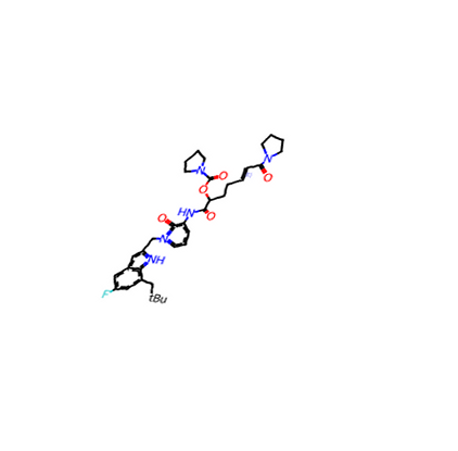 CC(C)(C)Cc1cc(F)cc2cc(Cn3cccc(NC(=O)C(CC/C=C/C(=O)N4CCCC4)OC(=O)N4CCCC4)c3=O)[nH]c12